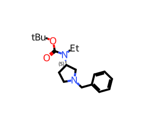 CCN(C(=O)OC(C)(C)C)[C@H]1CCN(Cc2ccccc2)C1